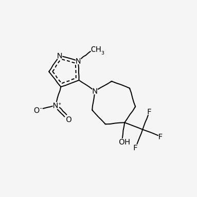 Cn1ncc([N+](=O)[O-])c1N1CCCC(O)(C(F)(F)F)CC1